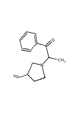 CC(C(=O)c1ccccc1)N1CCC(S)C1